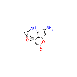 Cc1cc(=O)oc2cc(N)ccc12.NC1CC1=O